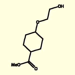 COC(=O)C1CCC(OCCO)CC1